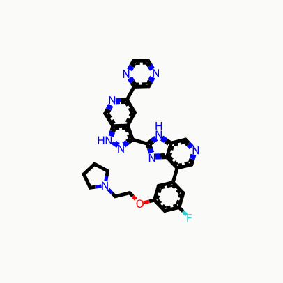 Fc1cc(OCCN2CCCC2)cc(-c2cncc3[nH]c(-c4n[nH]c5cnc(-c6cnccn6)cc45)nc23)c1